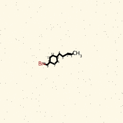 CC=CCCC1CCC(CBr)CC1